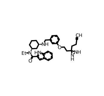 C#CCCC1(CCOc2cccc(CN[C@@H]3CCC[C@H](N(CC)C(=O)c4cc5ccccc5[nH]4)C3)c2)NN1